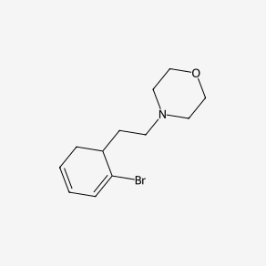 BrC1=CC=CCC1CCN1CCOCC1